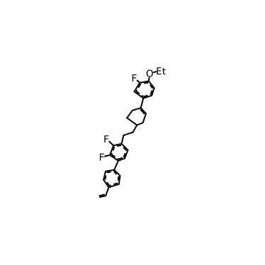 C=Cc1ccc(-c2ccc(CCC3CC=C(c4ccc(OCC)c(F)c4)CC3)c(F)c2F)cc1